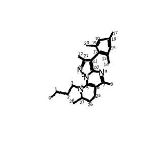 CCCCN1c2c(c(C)nc3c(-c4c(C)cc(C)cc4C)c(C)nn23)CCC1C